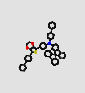 c1ccc(-c2ccc(-c3sc(-c4ccc(N(c5ccc(-c6ccccc6)cc5)c5ccc6c(c5)C5(c7ccccc7-c7ccccc75)c5ccccc5-6)cc4)c4c3OCCO4)cc2)cc1